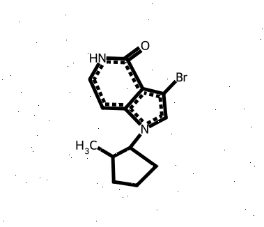 CC1CCCC1n1cc(Br)c2c(=O)[nH]ccc21